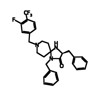 O=C1[C@H](Cc2ccccc2)NC2(CCN(Cc3ccc(C(F)(F)F)c(F)c3)CC2)N1Cc1ccccc1